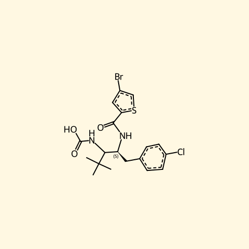 CC(C)(C)C(NC(=O)O)[C@H](Cc1ccc(Cl)cc1)NC(=O)c1cc(Br)cs1